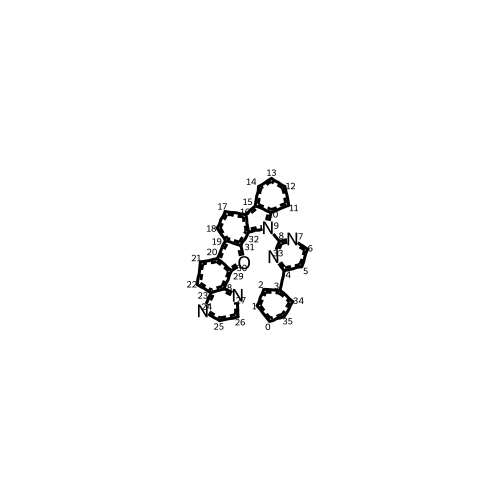 c1ccc(-c2ccnc(-n3c4ccccc4c4ccc5c6ccc7nccnc7c6oc5c43)n2)cc1